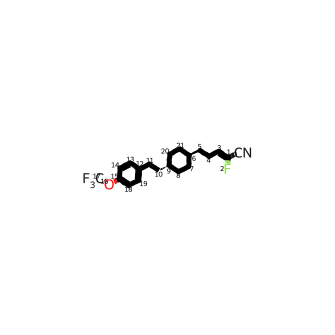 N#CC(F)=CCC[C@H]1CC[C@H](CCc2ccc(OC(F)(F)F)cc2)CC1